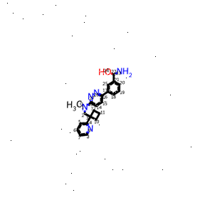 CN(CC1(c2ccccn2)CCC1)c1ccc(-c2cccc(C(N)O)c2)nn1